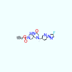 C[C@@H](c1ccc(-n2cc(F)cn2)nc1)N1CC(=O)NC2(CCN(C(=O)OC(C)(C)C)CC2)C1